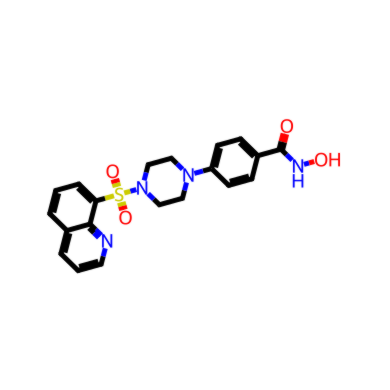 O=C(NO)c1ccc(N2CCN(S(=O)(=O)c3cccc4cccnc34)CC2)cc1